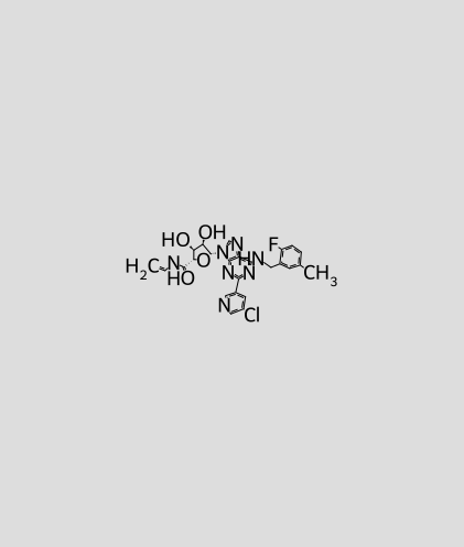 C=CNC(=O)[C@H]1O[C@@H](n2cnc3c(NCc4cc(C)ccc4F)nc(-c4cncc(Cl)c4)nc32)[C@H](O)[C@@H]1O